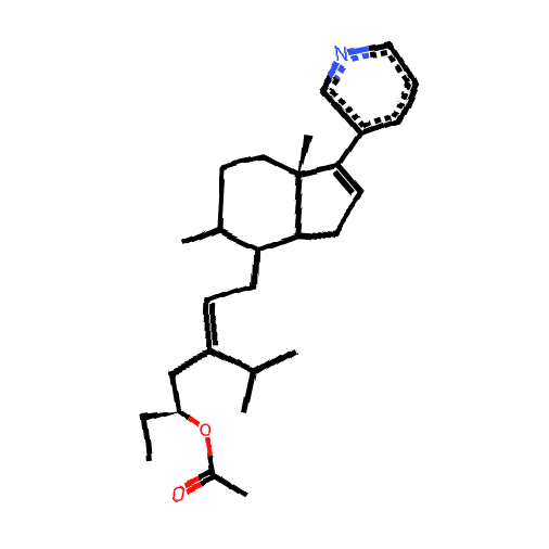 CC[C@@H](C/C(=C/CC1C(C)CC[C@]2(C)C(c3cccnc3)=CCC12)C(C)C)OC(C)=O